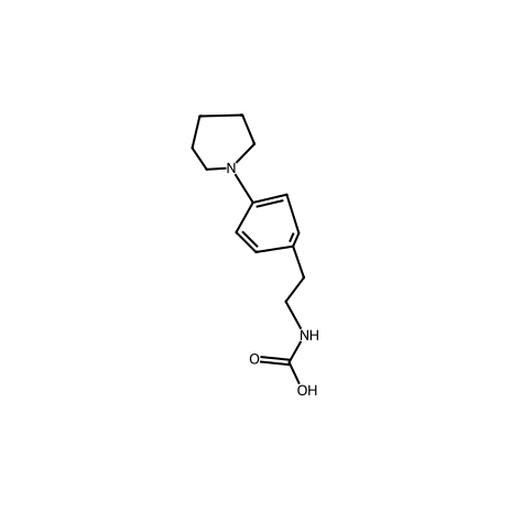 O=C(O)NCCc1ccc(N2CCCCC2)cc1